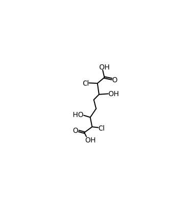 O=C(O)C(Cl)C(O)CCC(O)C(Cl)C(=O)O